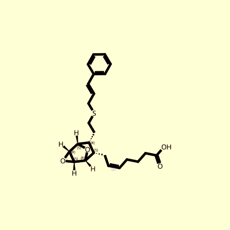 O=C(O)CCC/C=C\C[C@H]1[C@@H](CCSCC=Cc2ccccc2)[C@@H]2O[C@H]1[C@@H]1O[C@@H]12